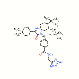 CC(C)(C)CC[C@H](c1ccc(C(=O)NCc2nn[nH]n2)cc1)N1C(=O)C(C2CCC(C)(C)CC2)=NC12CCC(C(C)(C)C)CC2